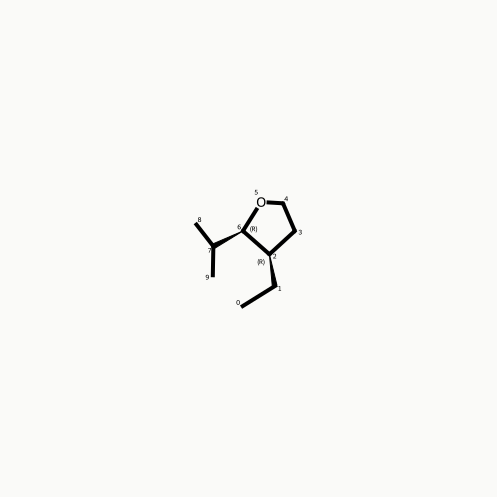 CC[C@@H]1CCO[C@@H]1C(C)C